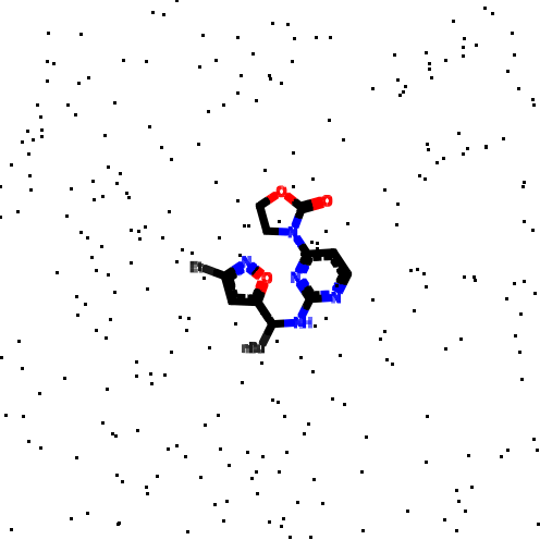 CCCCC(Nc1nccc(N2CCOC2=O)n1)c1cc(CC)no1